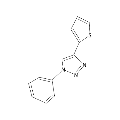 c1ccc(-n2cc(-c3cccs3)nn2)cc1